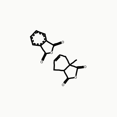 CC12CC=CCC1C(=O)OC2=O.O=C1OC(=O)c2ccccc21